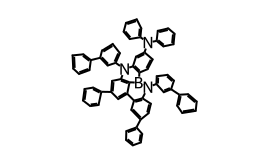 c1ccc(-c2cccc(N3B4c5ccc(N(c6ccccc6)c6ccccc6)cc5N(c5cccc(-c6ccccc6)c5)c5cc(-c6ccccc6)cc(c54)-c4cc(-c5ccccc5)ccc43)c2)cc1